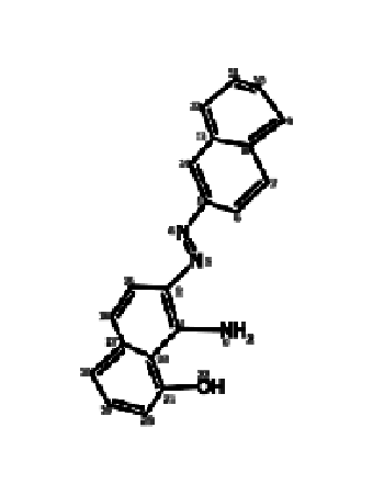 Nc1c(N=Nc2ccc3ccccc3c2)ccc2cccc(O)c12